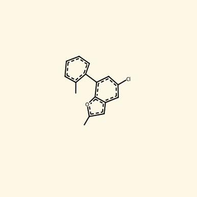 Cc1cc2cc(Cl)cc(-c3ccccc3C)c2o1